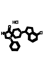 Cl.O=C1NCN(c2ccccc2)C12CCN(C1CCc3c(Cl)cccc31)CC2